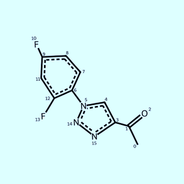 CC(=O)c1cn(-c2ccc(F)cc2F)nn1